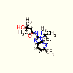 CCC(C)(C)n1c(NC(=O)CC(C)(C)O)nc2ccc(C(F)(F)F)nc21